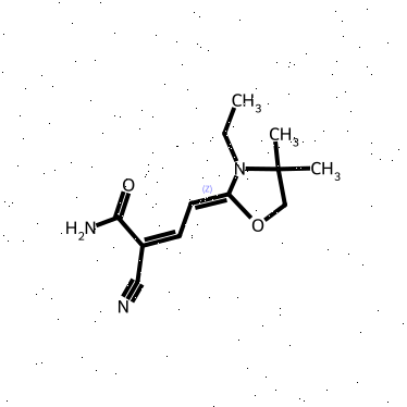 CCN1/C(=C/C=C(C#N)C(N)=O)OCC1(C)C